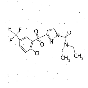 CCN(CC)C(=O)n1ccc(S(=O)(=O)c2cc(C(F)(F)F)ccc2Cl)n1